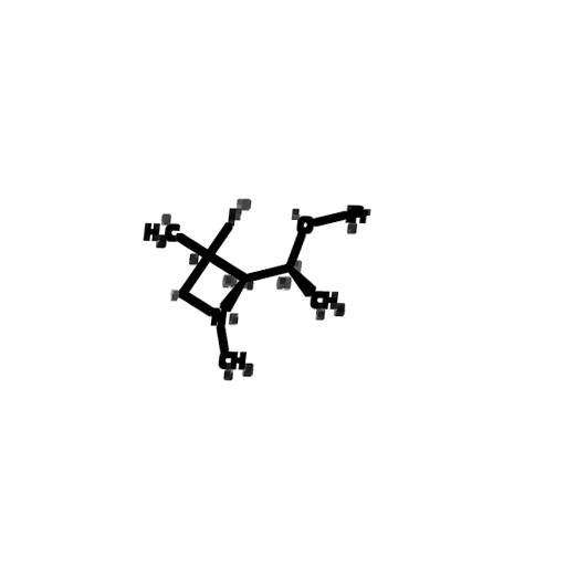 CC(C)O[C@@H](C)[C@H]1N(C)CC1(C)F